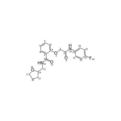 O=C(COc1ccccc1C(=O)NCC1CCCO1)Nc1ccc(F)cc1